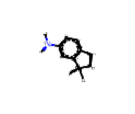 CN(C)c1ccc2c(c1)C(C)(C)CC2